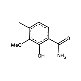 COc1c(C)ccc(C(N)=O)c1O